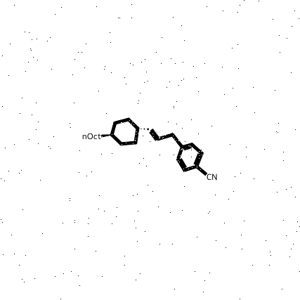 CCCCCCCC[C@H]1CC[C@H](/C=C/[CH]c2ccc(C#N)cc2)CC1